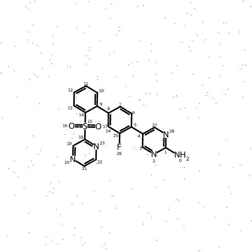 Nc1ncc(-c2ccc(-c3ccccc3S(=O)(=O)c3cnccn3)cc2F)cn1